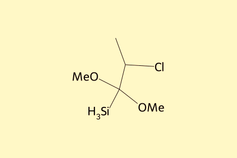 COC([SiH3])(OC)C(C)Cl